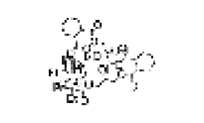 CCC(C(=O)OCC(O)COC(=O)C1CCCCC1C(=O)OCC(O)(O)COC(=O)C1CCCCC1C(=O)OCC(O)COC(=O)C(CC)(C(C)C)C(C)C)(C(C)C)C(C)C